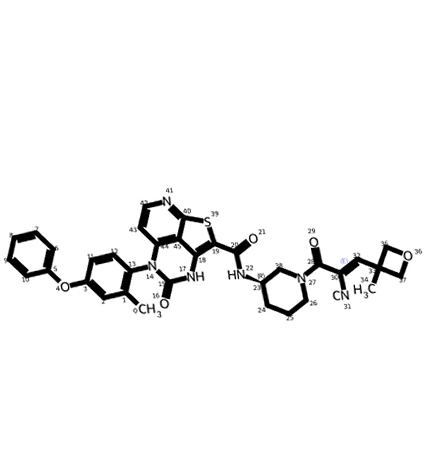 Cc1cc(Oc2ccccc2)ccc1N1C(=O)Nc2c(C(=O)N[C@@H]3CCCN(C(=O)/C(C#N)=C/C4(C)COC4)C3)sc3nccc1c23